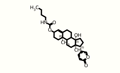 CCCCNC(=O)OC1C=C2CCC3C(CC[C@]4(C)[C@@H](c5ccc(=O)oc5)CC[C@]34O)[C@@]2(C)CC1